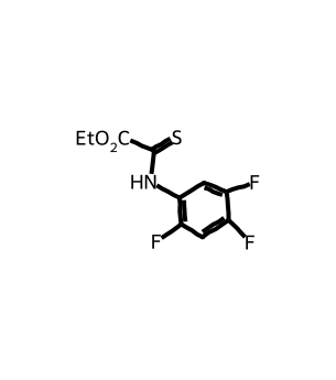 CCOC(=O)C(=S)Nc1cc(F)c(F)cc1F